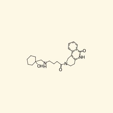 O=C(CCCNCC1(O)CCCCC1)N1CCc2[nH]c(=O)c3ccccc3c2C1